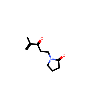 C=C(C)C(=O)CCN1CCCC1=O